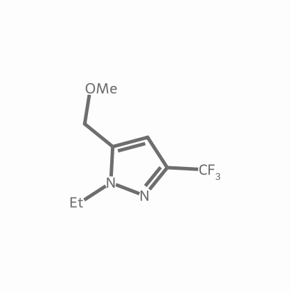 CCn1nc(C(F)(F)F)cc1COC